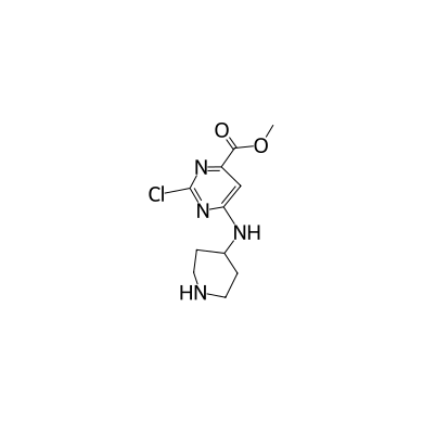 COC(=O)c1cc(NC2CCNCC2)nc(Cl)n1